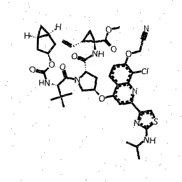 C=C[C@@H]1C[C@]1(NC(=O)[C@@H]1C[C@@H](Oc2cc(-c3csc(NC(C)C)n3)nc3c(Cl)c(OCC#N)ccc23)CN1C(=O)[C@@H](NC(=O)O[C@@H]1C[C@@H]2C[C@@H]2C1)C(C)(C)C)C(=O)OC